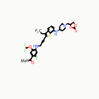 CNC(=O)c1cc(OC(F)F)c(NCC#Cc2sc3c(NC4CCN(CC5COC(=O)O5)CC4)cccc3c2CC(F)(F)F)cc1F